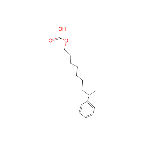 CC(CCCCCCCOC(=O)O)c1ccccc1